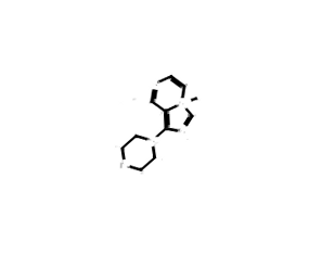 C[N+]12C=CN=CC1=C(N1CCNCC1)N=C2.Cl